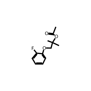 CC(=O)OC(C)(C)COc1ccccc1F